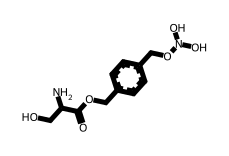 NC(CO)C(=O)OCc1ccc(CON(O)O)cc1